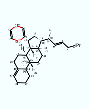 C1=COC=CO1.CC(C)CC=C[C@@H](C)[C@H]1CC[C@H]2[C@@H]3CCC4=CCCC[C@]4(C)[C@H]3CC[C@]12C